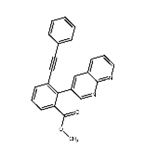 COC(=O)c1cccc(C#Cc2ccccc2)c1-c1cnc2ncccc2c1